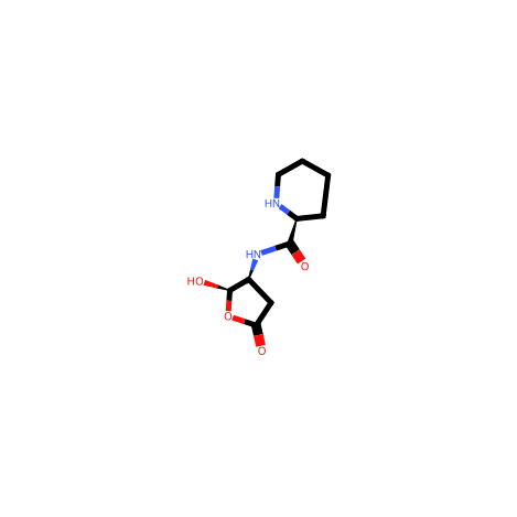 O=C1C[C@H](NC(=O)[C@@H]2CCCCN2)[C@H](O)O1